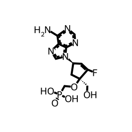 Nc1ncnc2c1ncn2[C@H]1C=C(F)[C@@](CO)(OCP(=O)(O)O)C1